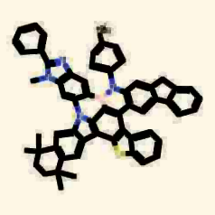 Cn1c(-c2ccccc2)nc2cc3c(cc21)-n1c2cc4c(cc2c2c5sc6ccccc6c5c5c(c21)B3N(c1ccc(C(C)(C)C)cc1)c1cc2c(cc1-5)-c1ccccc1C2)C(C)(C)CCC4(C)C